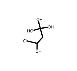 OC(Cl)CC(O)(O)O